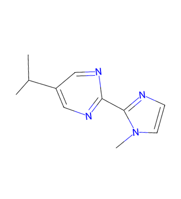 CC(C)c1cnc(-c2nccn2C)nc1